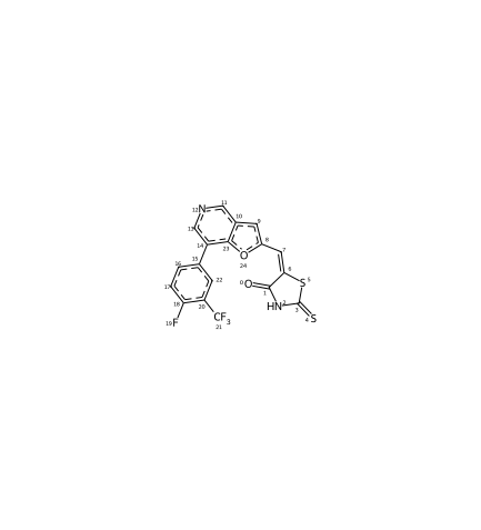 O=C1NC(=S)SC1=Cc1cc2cncc(-c3ccc(F)c(C(F)(F)F)c3)c2o1